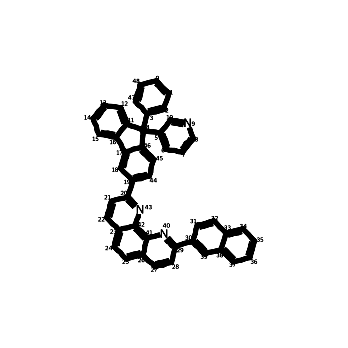 c1ccc(C2(c3cccnc3)c3ccccc3-c3cc(-c4ccc5ccc6ccc(-c7ccc8ccccc8c7)nc6c5n4)ccc32)cc1